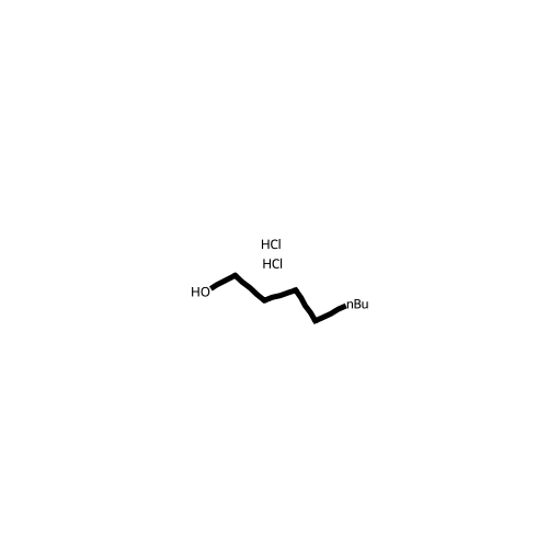 CCCCCCCCO.Cl.Cl